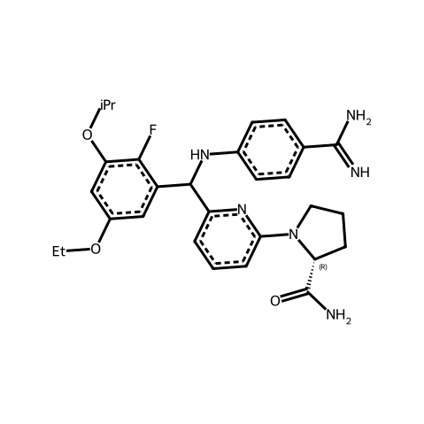 CCOc1cc(OC(C)C)c(F)c(C(Nc2ccc(C(=N)N)cc2)c2cccc(N3CCC[C@@H]3C(N)=O)n2)c1